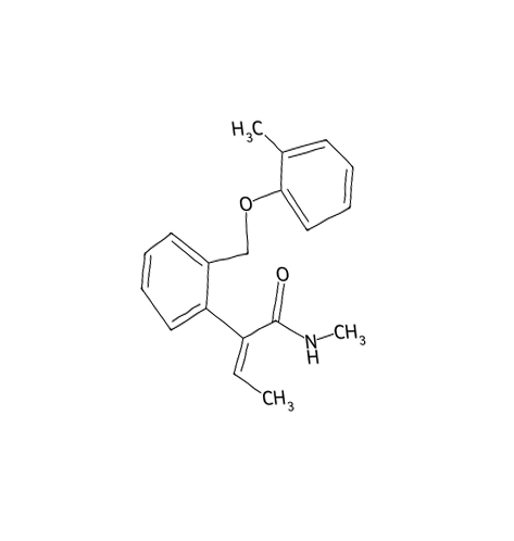 C/C=C(\C(=O)NC)c1ccccc1COc1ccccc1C